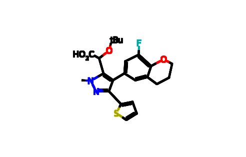 Cn1nc(-c2cccs2)c(-c2cc(F)c3c(c2)CCCO3)c1C(OC(C)(C)C)C(=O)O